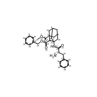 COC(=O)C12CC3CC(CC(NC(=O)[C@@H](N)Cc4ccccc4)(C3)C1C(=O)OCc1ccccc1)C2